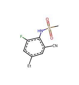 CCc1cc(F)c(NS(C)(=O)=O)c(C#N)c1